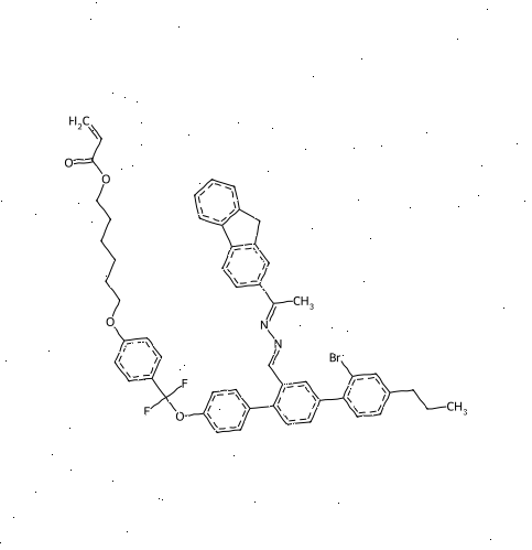 C=CC(=O)OCCCCCCOc1ccc(C(F)(F)Oc2ccc(-c3ccc(-c4ccc(CCC)cc4Br)cc3/C=N/N=C(\C)c3ccc4c(c3)Cc3ccccc3-4)cc2)cc1